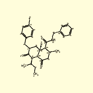 CCC(C)[C@H]1C(=O)N(Cc2ccc(F)cc2)C[C@H]2N1C(=O)CN(C)N2C(=O)NCc1ccccc1